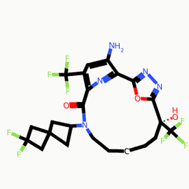 Nc1cc(C(F)(F)F)c2nc1-c1nnc(o1)[C@@](O)(C(F)(F)F)CCCCCN(C1CC3(C1)CC(F)(F)C3)C2=O